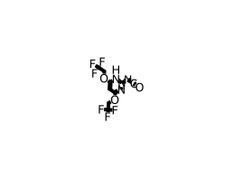 O=C=NN1N=C(OCC(F)(F)F)C=C(OCC(F)(F)F)N1